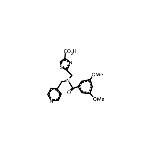 COc1cc(OC)cc(C(=O)N(Cc2ccncc2)Cc2nc(C(=O)O)cs2)c1